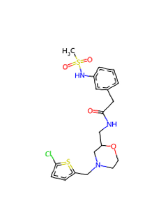 CS(=O)(=O)Nc1cccc(CC(=O)NCC2CN(Cc3ccc(Cl)s3)CCO2)c1